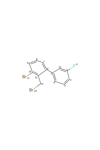 Fc1cccc(-c2cccc(Br)c2CBr)c1